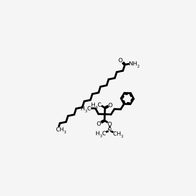 CCCC(CCCc1ccccc1)(C(C)=O)C(=O)ON(C)C.CCCCCCCCCCCCCCCCCC(N)=O